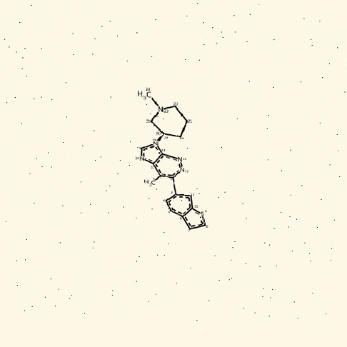 Cc1c(-c2ccc3ccsc3c2)nnc2c1ncn2[C@@H]1CCCN(C)C1